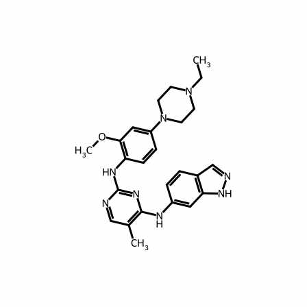 CCN1CCN(c2ccc(Nc3ncc(C)c(Nc4ccc5cn[nH]c5c4)n3)c(OC)c2)CC1